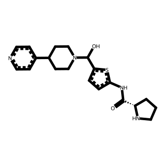 O=C(Nc1ccc(C(O)N2CCC(c3ccncc3)CC2)s1)[C@@H]1CCCN1